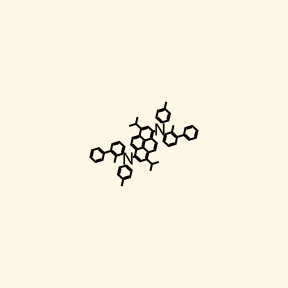 Cc1ccc(N(c2cccc(-c3ccccc3)c2C)c2cc(C(C)C)c3ccc4c(N(c5ccc(C)cc5)c5cccc(-c6ccccc6)c5C)cc(C(C)C)c5ccc2c3c54)cc1